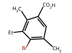 CCc1c(C)c(C(=O)O)cc(C)c1Br